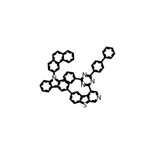 c1ccc(-c2ccc(-c3nc(-c4ccccc4)nc(-c4cncc5sc6ccc(-c7ccc8c(c7)c7ccccc7n8-c7ccc8ccc9ccccc9c8c7)cc6c45)n3)cc2)cc1